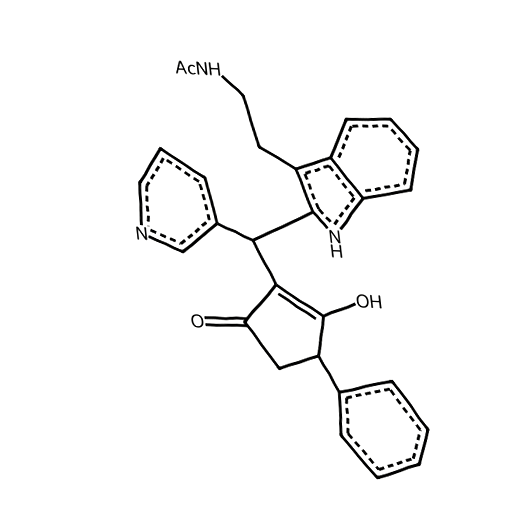 CC(=O)NCCc1c(C(C2=C(O)C(c3ccccc3)CC2=O)c2cccnc2)[nH]c2ccccc12